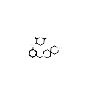 O=C1CCC(Nc2cccc(CN3CCC4(CCNCC4)CC3)c2)C(=O)N1